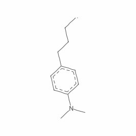 [CH2]CCCc1ccc(N(C)C)cc1